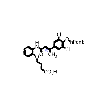 CCCCCOc1c(Cl)cc(/C(C)=C/C(=O)Nc2ccccc2OCCCC(=O)O)cc1Cl